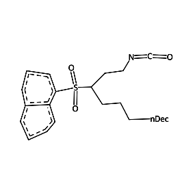 CCCCCCCCCCCCCC(CCN=C=O)S(=O)(=O)c1cccc2ccccc12